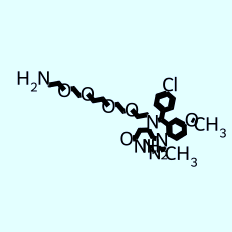 COc1ccc2c(c1)C(c1ccc(Cl)cc1)N(CCOCCOCCOCCOCCN)C(CC(N)=O)c1nnc(C)n1-2